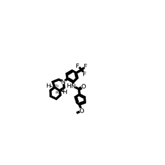 COc1ccc(C(=O)Nc2cc(C(F)(F)F)ccc2N2CC[C@@H]3CCCC[C@H]3C2)cc1